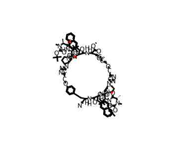 COC(=O)[C@H]1NC(=O)[C@H](Cc2ccc3ccccc3c2)NC(=O)C2(CCCN2C(=O)[C@@H](NC(=O)[C@H](C)N(C)C(=O)OC(C)(C)C)C(C)(C)C)n2cc(nn2)COc2ccc(cc2)C[C@@H](C#N)NC(=O)[C@H](Cc2ccc3ccccc3c2)NC(=O)[C@@]2(CCCN2C(=O)[C@@H](NC(=O)[C@H](C)N(C)C(=O)OC(C)(C)C)C(C)(C)C)n2cc(nn2)COc2ccc1cc2